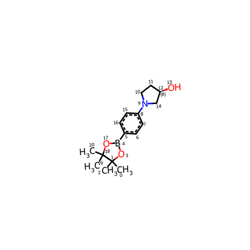 CC1(C)OB(c2ccc(N3CC[C@@H](O)C3)cc2)OC1(C)C